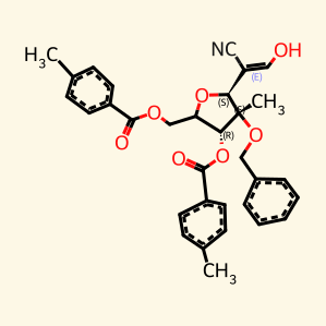 Cc1ccc(C(=O)OCC2O[C@@H](/C(C#N)=C/O)[C@](C)(OCc3ccccc3)[C@@H]2OC(=O)c2ccc(C)cc2)cc1